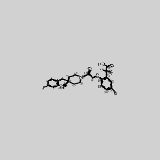 N#CC1(Cc2ccc(F)cc2)CCN(C(=O)COc2ccc(Br)cc2C(F)(F)C(=O)O)CC1